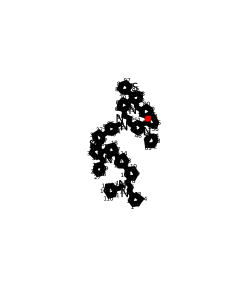 c1ccc(-c2cc(-c3cccc(-c4ccc(-c5cccc6c5nc(-c5ccccc5)c5ccc7sc8ccc(-c9ccc(-c%10nc(-c%11ccc%12c(c%11)c%11ccccc%11n%12-c%11ccccc%11)cc(-c%11cccc%12c%11nc(-c%11ccccc%11)c%11ccc%13sc%14ccccc%14c%13c%11%12)n%10)cc9)cc8c7c56)cc4)c3)nc(-c3ccccc3)n2)cc1